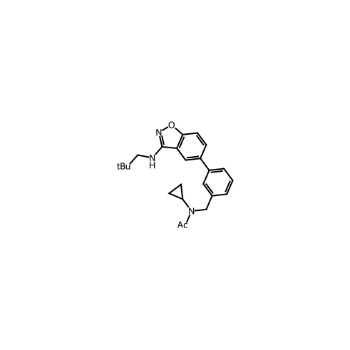 CC(=O)N(Cc1cccc(-c2ccc3onc(NCC(C)(C)C)c3c2)c1)C1CC1